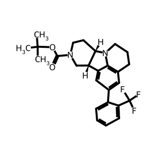 CC(C)(C)OC(=O)N1CC[C@H]2[C@@H](C1)c1cc(-c3ccccc3C(F)(F)F)cc3c1N2CCC3